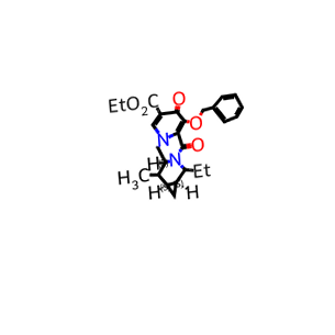 CCOC(=O)c1cn2c(c(OCc3ccccc3)c1=O)C(=O)N1C(CC)[C@H]3C[C@H]3C(C)[C@@H]1C2